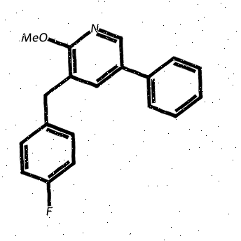 COc1ncc(-c2ccccc2)cc1Cc1ccc(F)cc1